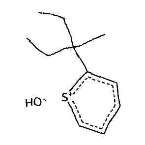 CCC(C)(CC)c1cccc[s+]1.[OH-]